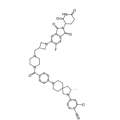 C[C@H]1CC2(CCN(c3ccc(C(=O)N4CCN(CC5CN(c6cc7c(cc6F)C(=O)N(C6CCC(=O)NC6=O)C7=O)C5)CC4)cc3)CC2)CN1c1ccc(C#N)c(Cl)c1